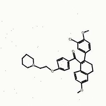 COc1ccc2c(c1)CCC(c1ccc(OC)c(Cl)c1)=C2C(=O)c1ccc(OCCN2CCCCC2)cc1